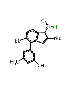 CCc1ccc2c(c1-c1cc(C)cc(C)c1)C=C(C(C)(C)C)[CH]2[Zr]([Cl])[Cl]